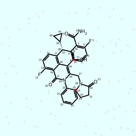 NC(=O)c1c(F)cccc1[C@H](c1ccc(F)c2c(=O)n(-c3ccccc3)c(CN3CCCC3=O)c(C(=O)O)c12)C1CC1